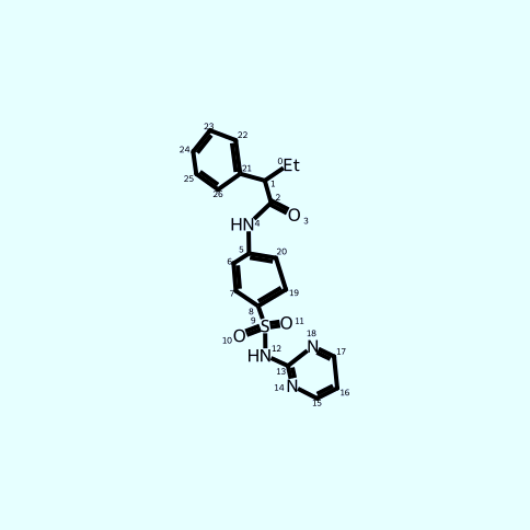 CCC(C(=O)Nc1ccc(S(=O)(=O)Nc2ncccn2)cc1)c1ccccc1